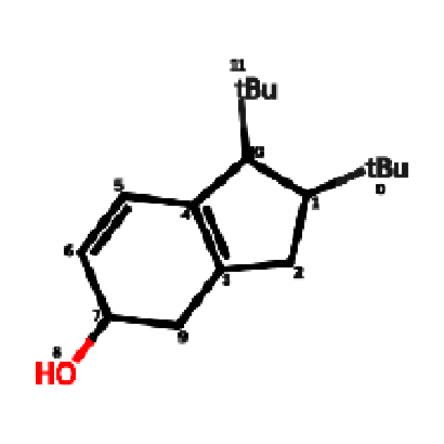 CC(C)(C)C1CC2=C(C=CC(O)C2)C1C(C)(C)C